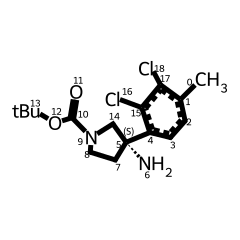 Cc1ccc([C@@]2(N)CCN(C(=O)OC(C)(C)C)C2)c(Cl)c1Cl